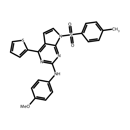 COc1ccc(Nc2nc(-c3cccs3)c3ccn(S(=O)(=O)c4ccc(C)cc4)c3n2)cc1